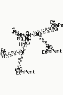 CCCCCC(CC)OC(=O)CCCCCCCCN(CCCCCCCCC(=O)OC(CC)CCCCC)CCCNC(=O)c1cc(C(=O)NCCN(C)C)cc(C(=O)NCCCN(CCCCCCCCC(=O)OC(CC)CCCCC)CCCCCCCCC(=O)OC(CC)CCCCC)n1